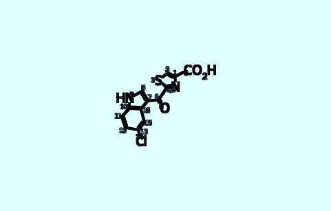 O=C(O)c1csc(C(=O)c2c[nH]c3ccc(Cl)cc23)n1